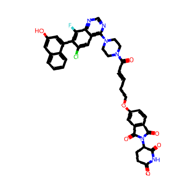 O=C1CCC(N2C(=O)c3ccc(OCC/C=C/C(=O)N4CCN(c5ncnc6c(F)c(-c7cc(O)cc8ccccc78)c(Cl)cc56)CC4)cc3C2=O)C(=O)N1